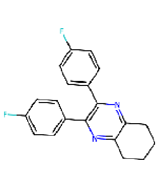 Fc1ccc(-c2nc3c(nc2-c2ccc(F)cc2)CCCC3)cc1